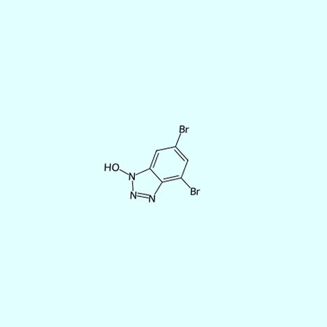 On1nnc2c(Br)cc(Br)cc21